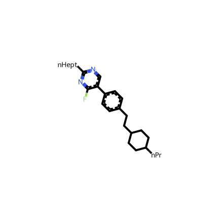 CCCCCCCc1ncc(-c2ccc(CCC3CCC(CCC)CC3)cc2)c(F)n1